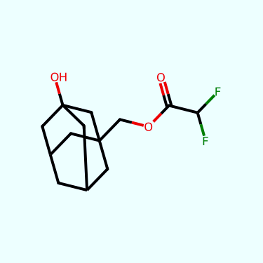 O=C(OCC12CC3CC(CC(O)(C3)C1)C2)C(F)F